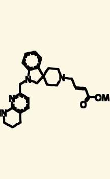 COC(=O)/C=C/CN1CCC2(CC1)CN(Cc1ccc3c(n1)NCCC3)c1ccccc12